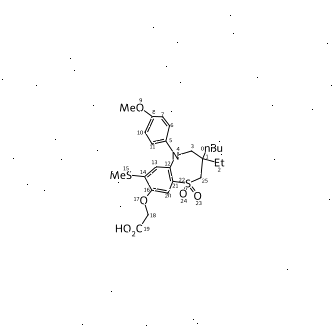 CCCCC1(CC)CN(c2ccc(OC)cc2)c2cc(SC)c(OCC(=O)O)cc2S(=O)(=O)C1